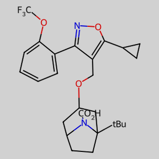 CC(C)(C)C12CCC(CC(OCc3c(-c4ccccc4OC(F)(F)F)noc3C3CC3)C1)N2C(=O)O